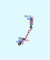 CC(C)(C)c1cc(OCCOCCOCCOCCOc2ccc(C3CCN(S(=O)(=O)c4ccc5c(c4)NCN(CC(=O)O)C5=O)CC3)cc2)c(O)cc1NC(=O)c1c[nH]c2ccccc2c1=O